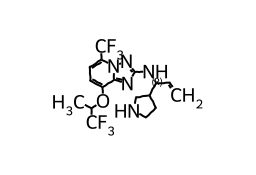 C=C[C@@H](Nc1nc2c(OC(C)C(F)(F)F)ccc(C(F)(F)F)n2n1)C1CCNC1